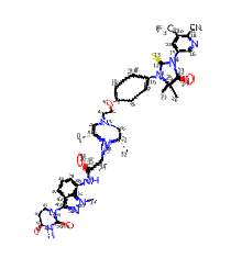 C[C@@H]1CN(CCO[C@H]2CC[C@H](N3C(=S)N(c4cnc(C#N)c(C(F)(F)F)c4)C(=O)C3(C)C)CC2)C[C@H](C)N1CC(=O)Nc1cccc2c(N3CCC(=O)NC3=O)nn(C)c12